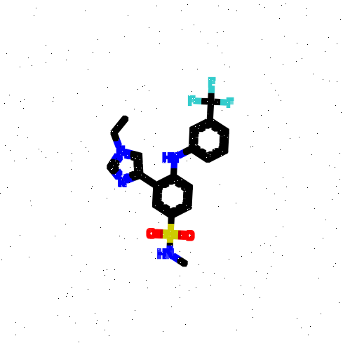 CCn1cnc(-c2cc(S(=O)(=O)NC)ccc2Nc2cccc(C(F)(F)F)c2)c1